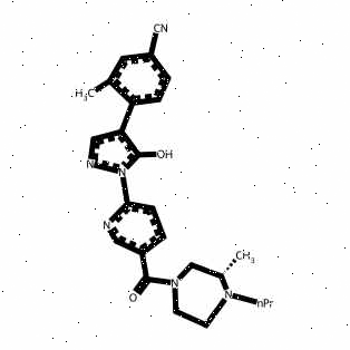 CCCN1CCN(C(=O)c2ccc(-n3ncc(-c4ccc(C#N)cc4C)c3O)nc2)C[C@@H]1C